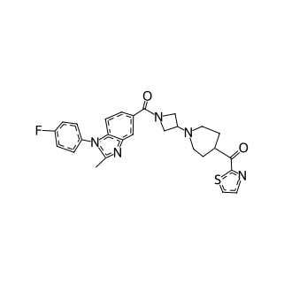 Cc1nc2cc(C(=O)N3CC(N4CCC(C(=O)c5nccs5)CC4)C3)ccc2n1-c1ccc(F)cc1